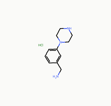 Cl.NCc1cccc(N2CCNCC2)c1